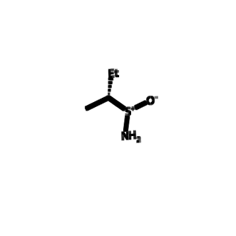 CC[C@@H](C)[S+](N)[O-]